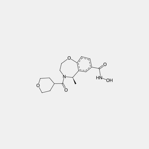 C[C@@H]1c2cc(C(=O)NO)ccc2OCCN1C(=O)C1CCOCC1